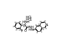 CN[C@@H](C(=O)NNc1ccc2cnccc2c1)c1ccccc1F.Cl.Cl